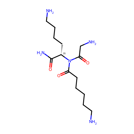 NCCCCCC(=O)N(C(=O)CN)[C@@H](CCCCN)C(N)=O